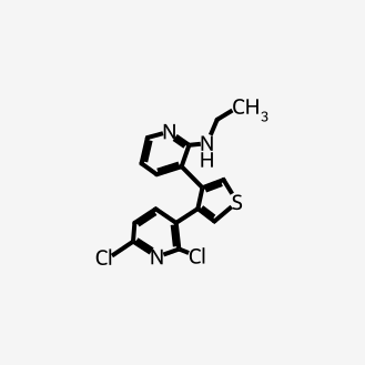 CCNc1ncccc1-c1cscc1-c1ccc(Cl)nc1Cl